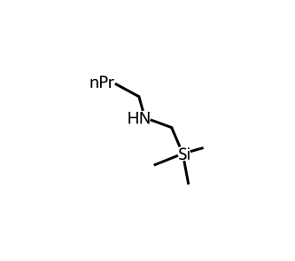 CCCCNC[Si](C)(C)C